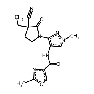 CCC1(C#N)CCN(c2nn(C)cc2NC(=O)c2coc(C)n2)C1=O